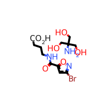 NC(CO)(CO)CO.O=C(O)CCCNC(=O)c1cc(Br)no1